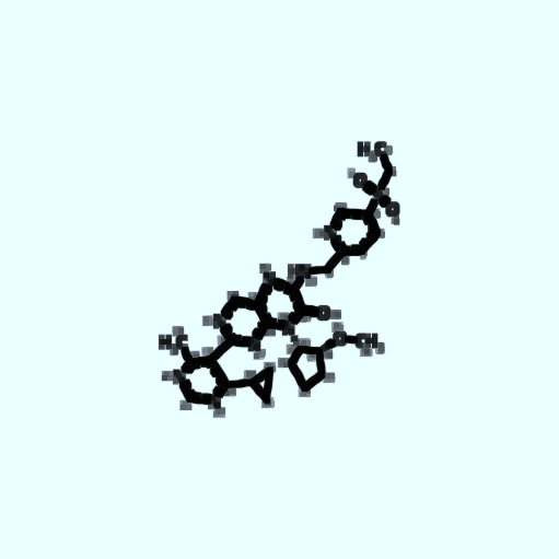 CCS(=O)(=O)c1ccc(CNc2nc3cnc(-c4c(C)ncnc4C4CC4)nc3n([C@H]3CCC[C@@H]3OC)c2=O)nc1